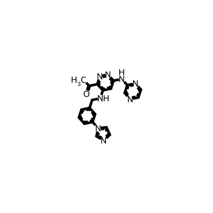 CC(=O)c1nnc(Nc2cnccn2)cc1NCc1cccc(-n2ccnc2)c1